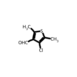 Cc1sc(C)c(C=O)c1Cl